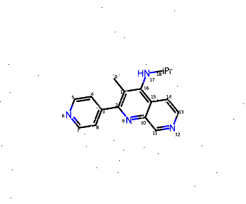 Cc1c(-c2ccncc2)nc2cnccc2c1NC(C)C